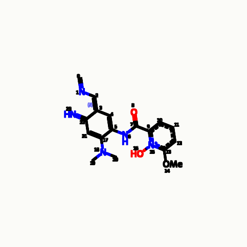 C=N/C=C1/C=C(NC(=O)c2cccc(OC)[n+]2O)C(N(C)C)=CC1=N